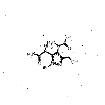 CC(C)n1nc(CO)c(N(N)C(N)=O)c1N(N)C(N)=O